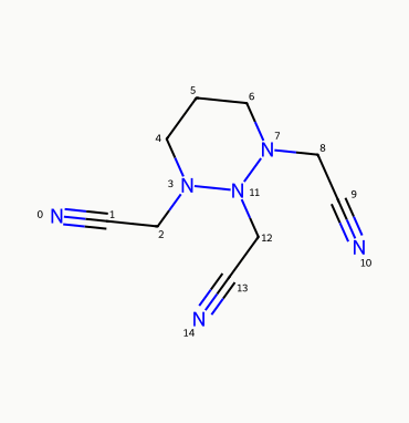 N#CCN1CCCN(CC#N)N1CC#N